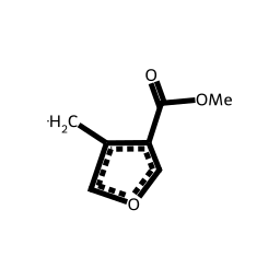 [CH2]c1cocc1C(=O)OC